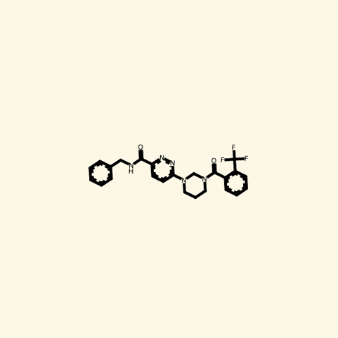 O=C(NCc1ccccc1)c1ccc(N2CCCN(C(=O)c3ccccc3C(F)(F)F)C2)nn1